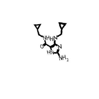 Nc1nc(NCC2CC2)c(C(=O)NCC2CC2)[nH]1